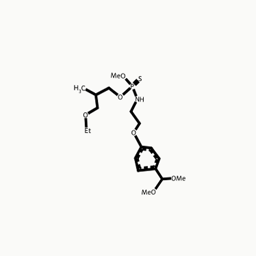 CCOCC(C)COP(=S)(NCCOc1ccc(C(OC)OC)cc1)OC